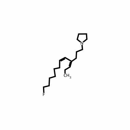 CC/C=C(\C=C/CCCCCCF)CCCN1CCCC1